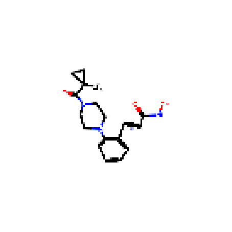 O=C(/C=C/c1ccccc1N1CCN(C(=O)C2(C(F)(F)F)CC2)CC1)NO